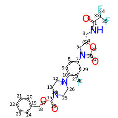 O=C(NC[C@H]1CN(c2ccc(N3CCN(C(=O)OCc4ccccc4)CC3)c(F)c2)C(=O)O1)C(F)F